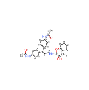 CCC(=O)Nc1ccc(C(CCNC(Oc2ccccc2)C(C)O)c2ccc(NC(=O)CC)cc2)cc1